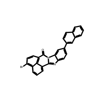 O=c1c2ccc(Br)c3cccc(c32)c2nc3ccc(-c4ccc5ccccc5c4)cc3n12